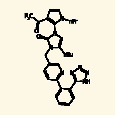 CCCCc1cn(-c2c(C(=O)C(F)(F)F)ccn2CCC)c(=O)n1Cc1ccc(-c2ccccc2-c2nnn[nH]2)nc1